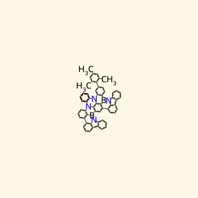 Cc1cc(C)c(-c2ccc3c(c2)N(c2ccccc2)c2c4c(cc5c2N(c2ccccc2)c2cccc6c2B5n2c5ccccc5c5cccc-6c52)-c2cccc5c6ccccc6n(c25)B34)c(C)c1